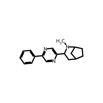 CN1C2CCC(C2)CC1c1cnc(-c2ccccc2)cn1